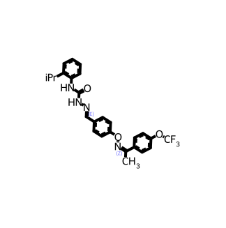 C/C(=N/Oc1ccc(/C=N/NC(=O)Nc2ccccc2C(C)C)cc1)c1ccc(OC(F)(F)F)cc1